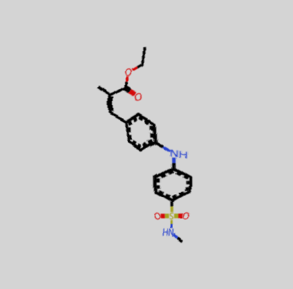 CCOC(=O)C(C)=Cc1ccc(Nc2ccc(S(=O)(=O)NC)cc2)cc1